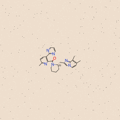 Cc1ccc(-c2ncccn2)c(C(=O)N2CCCC[C@H]2Cc2cn3ccc(C)c(C)c3n2)n1